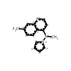 CN(c1ccnc2cc(C(F)(F)F)ccc12)n1cccc1